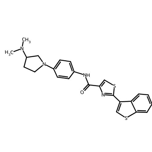 CN(C)C1CCN(c2ccc(NC(=O)c3csc(-c4csc5ccccc45)n3)cc2)C1